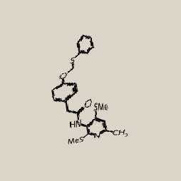 CSc1cc(C)nc(SC)c1NC(=O)Cc1ccc(OCSc2ccccc2)cc1